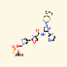 CC(C)(C)OP(=O)(OCn1cc(-c2nc(C(=O)Nc3cn([C@H]4CC[C@H](C)CC4)nc3-c3cnccn3)co2)cn1)OC(C)(C)C